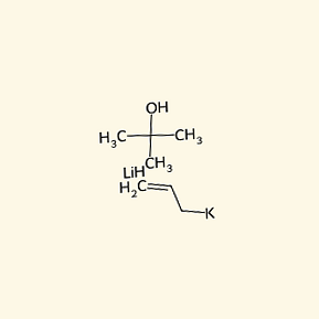 C=C[CH2][K].CC(C)(C)O.[LiH]